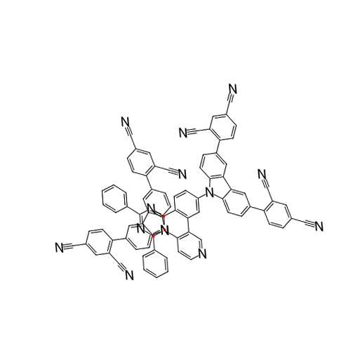 N#Cc1ccc(-c2ccc3c(c2)c2cc(-c4ccc(C#N)cc4C#N)ccc2n3-c2ccc(-c3nc(-c4ccccc4)nc(-c4ccccc4)n3)c(-c3cnccc3-n3c4ccc(-c5ccc(C#N)cc5C#N)cc4c4cc(-c5ccc(C#N)cc5C#N)ccc43)c2)c(C#N)c1